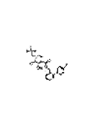 O=C(NCc1ccccc1-c1ccc(F)cc1)c1ccn(CC(F)(F)F)c(=O)c1O